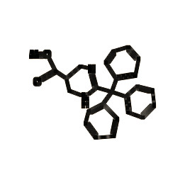 COC(=O)C1CN=C(C(c2ccccc2)(c2ccccc2)c2ccccc2)NC1